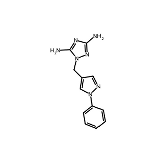 Nc1nc(N)n(Cc2cnn(-c3ccccc3)c2)n1